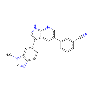 Cn1cnc2ccc(-c3c[nH]c4ncc(-c5cccc(C#N)c5)cc34)cc21